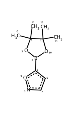 CC1(C)OB(c2ccno2)OC1(C)C